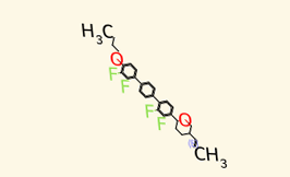 C/C=C/C1CCC(c2ccc(-c3ccc(-c4ccc(OCCCC)c(F)c4F)cc3)c(F)c2F)OC1